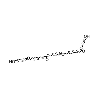 O=C(CSCSCSCCOOCSCSCOC(=O)CSCSCSCCOOCSCSCO)OCSCSCO